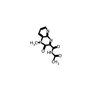 CC(=O)NC(=O)c1nc2ncccc2n(C)c1=O